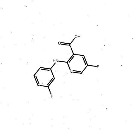 O=C(O)c1cc(F)cnc1Nc1cccc(F)c1